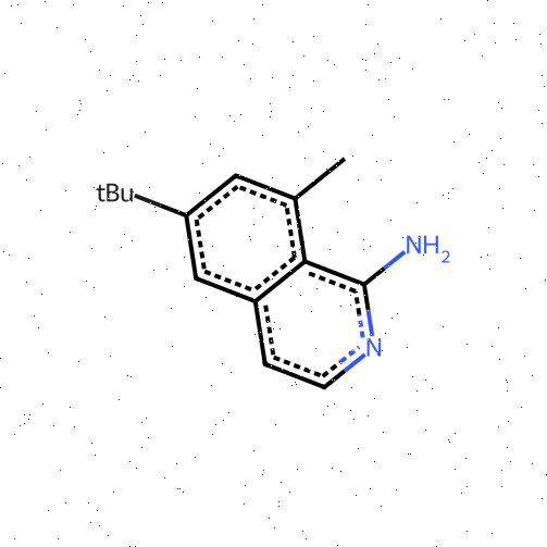 Cc1cc(C(C)(C)C)cc2ccnc(N)c12